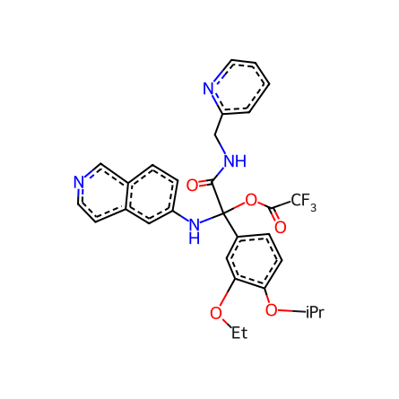 CCOc1cc(C(Nc2ccc3cnccc3c2)(OC(=O)C(F)(F)F)C(=O)NCc2ccccn2)ccc1OC(C)C